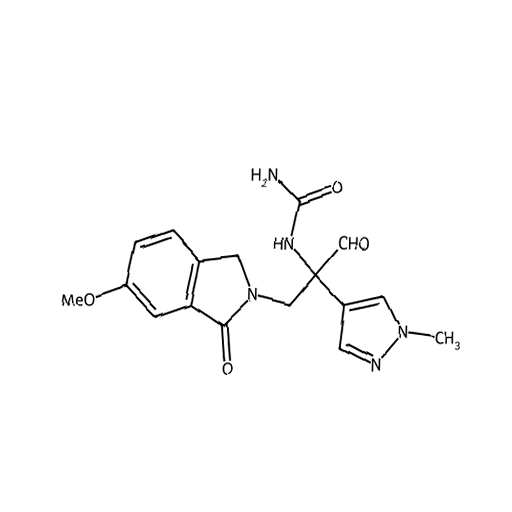 COc1ccc2c(c1)C(=O)N(CC(C=O)(NC(N)=O)c1cnn(C)c1)C2